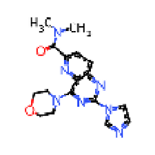 CN(C)C(=O)c1ccc2nc(-n3ccnc3)nc(N3CCOCC3)c2n1